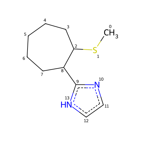 CSC1CCCCCC1c1ncc[nH]1